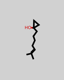 CC(C)=CCCCCC1(O)CC1